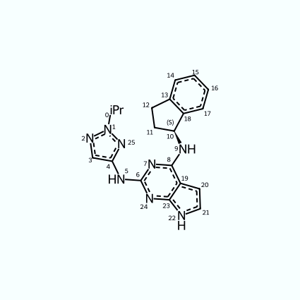 CC(C)n1ncc(Nc2nc(N[C@H]3CCc4ccccc43)c3cc[nH]c3n2)n1